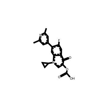 Cc1cc(-c2cc3c(cc2F)c(=O)c(OC(=O)O)cn3C2CC2)cc(C)n1